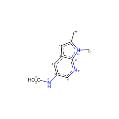 Cc1cc2cc(NC(=O)O)cnc2n1C